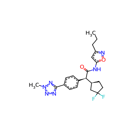 CCCc1cc(NC(=O)[C@H](c2ccc(-c3nnn(C)n3)cc2)[C@H]2CCC(F)(F)C2)on1